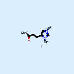 CCCn1cc(CCC(=O)OC)[n+](CCC)c1.[I-]